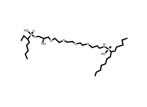 CCCCCCCC(CCCCC)P(=O)(O)NCCCOCCOCCOCCOCC(O)COP(=O)(O)C(CC)CCCCC